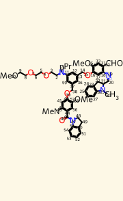 CCCN(CCOCCOCCOC)c1cc(COc2cc(/N=C\C3Cc4ccccc4N3C)c(C=O)cc2OC)cc(COc2cc(NC)c(C(=O)N3CCc4ccccc43)cc2OC)c1